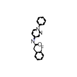 O=C(Cc1ccccc1F)/N=c1/ccn(-c2ccccc2)nc1